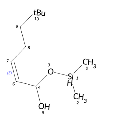 C[SiH](C)OC(O)/C=C\CCC(C)(C)C